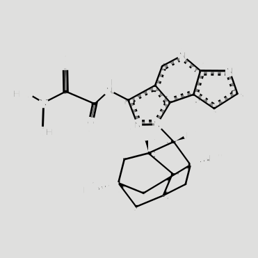 CN(C)C(=O)C(=O)Nc1nn([C@H]2[C@@H]3CC4C[C@H]2C[C@@](O)(C4)C3)c2c1cnc1[nH]ccc12